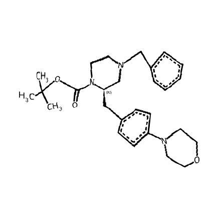 CC(C)(C)OC(=O)N1CCN(Cc2ccccc2)C[C@H]1Cc1ccc(N2CCOCC2)cc1